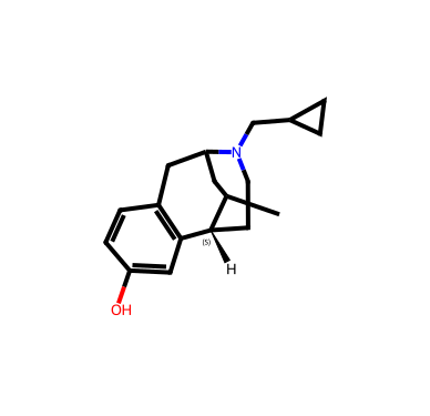 CC1CC2Cc3ccc(O)cc3[C@H]1CCN2CC1CC1